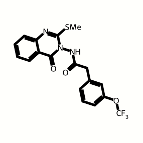 CSc1nc2ccccc2c(=O)n1NC(=O)Cc1cccc(OC(F)(F)F)c1